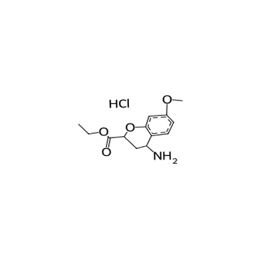 CCOC(=O)C1CC(N)c2ccc(OC)cc2O1.Cl